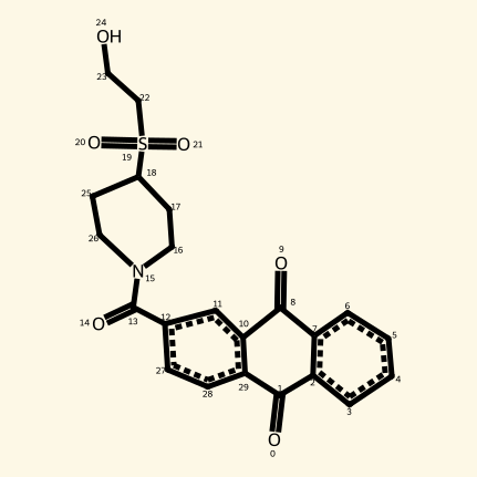 O=C1c2ccccc2C(=O)c2cc(C(=O)N3CCC(S(=O)(=O)CCO)CC3)ccc21